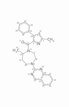 Cc1nc(C(=O)N2CCN(c3ncc4ccccc4n3)CCC2C)c(-c2ccccc2)s1